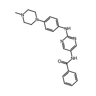 CN1CCN(c2ccc(Nc3ncc(NC(=O)c4ccccc4)cn3)cc2)CC1